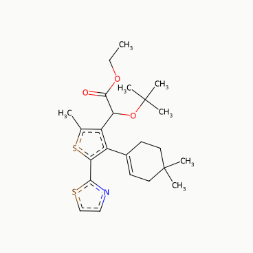 CCOC(=O)C(OC(C)(C)C)c1c(C)sc(-c2nccs2)c1C1=CCC(C)(C)CC1